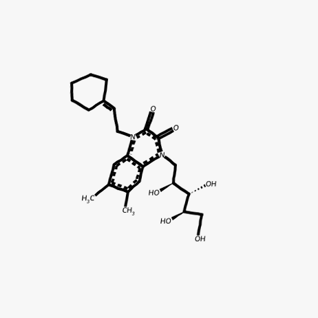 Cc1cc2c(cc1C)n(C[C@H](O)[C@H](O)[C@H](O)CO)c(=O)c(=O)n2CC=C1CCCCC1